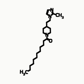 CCCCCCCCCCCC(=O)N1CCC(CCn2ccnc2C)CC1